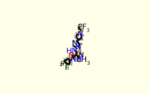 Cc1nsc(Nc2cnc(C3CCN(CCC(F)(F)F)CC3)cn2)c1C(=O)Nc1ccc(F)c(F)c1